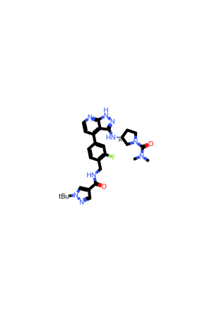 CN(C)C(=O)N1CC[C@@H](Nc2n[nH]c3nccc(-c4ccc(CNC(=O)c5cnn(C(C)(C)C)c5)c(F)c4)c23)C1